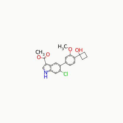 COC(=O)c1c[nH]c2cc(Cl)c(-c3ccc(C4(O)CCC4)c(OC)c3)cc12